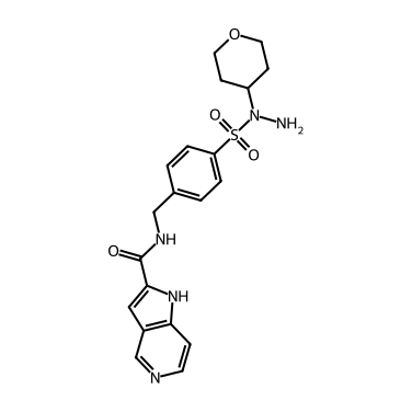 NN(C1CCOCC1)S(=O)(=O)c1ccc(CNC(=O)c2cc3cnccc3[nH]2)cc1